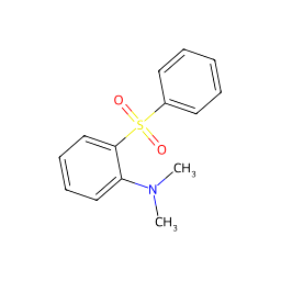 CN(C)c1ccccc1S(=O)(=O)c1ccccc1